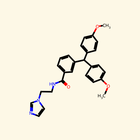 COc1ccc([C](c2ccc(OC)cc2)c2cccc(C(=O)NCCn3ccnc3)c2)cc1